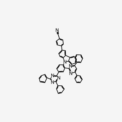 N#Cc1ccc(-c2ccc3c(c2)c2ccccc2n3-c2ccc(-c3nc(-c4ccccc4)nc(-c4ccccc4)n3)cc2-c2nc(-c3ccccc3)cc(-c3ccccc3)n2)cc1